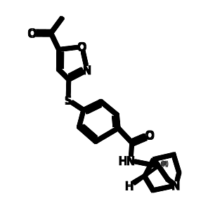 CC(=O)c1cc(Sc2ccc(C(=O)N[C@H]3CN4CCC3CC4)cc2)no1